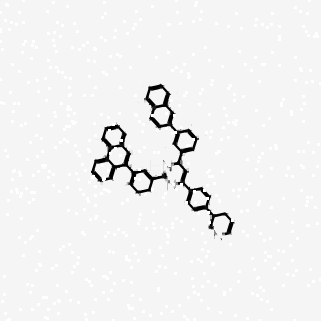 C1=CN=CC(c2ccc(C3=CC(c4cccc(-c5ccc6ccccc6c5)c4)NC(C4=CC(c5cc6ccccc6c6ccccc56)=CCC4)=N3)cc2)C1